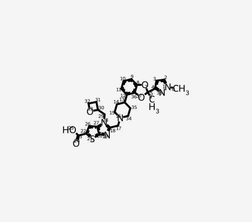 Cn1ccc(C2(C)Oc3cccc(C4CCN(Cc5nc6sc(C(=O)O)cc6n5CC5CCO5)CC4)c3O2)n1